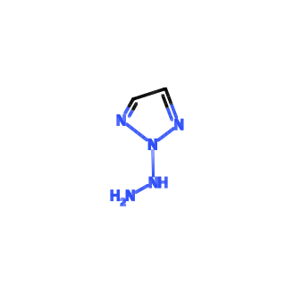 NNn1nccn1